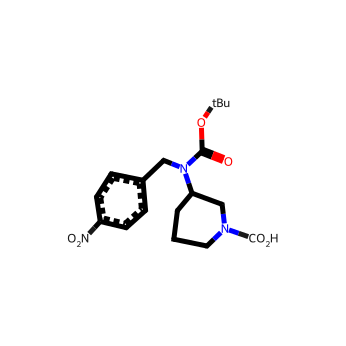 CC(C)(C)OC(=O)N(Cc1ccc([N+](=O)[O-])cc1)C1CCCN(C(=O)O)C1